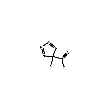 O=[N+]([O-])C1(Cl)N=NN=N1